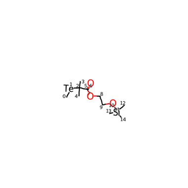 C[Te]C(C)(C)C(=O)OCCO[Si](C)(C)C